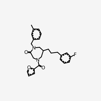 Cc1cccc(CN2CC(CCCc3cccc(F)c3)CN(C(=O)c3ccco3)CC2=O)c1